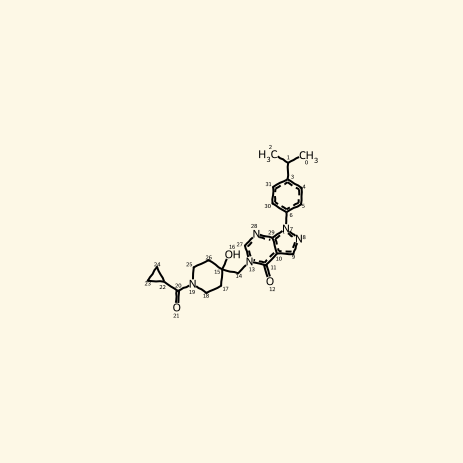 CC(C)c1ccc(-n2ncc3c(=O)n(CC4(O)CCN(C(=O)C5CC5)CC4)cnc32)cc1